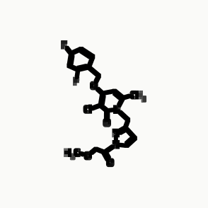 COCC(=O)n1ccc(Cn2c(C)cc(OCc3ccc(F)cc3F)c(Cl)c2=O)n1